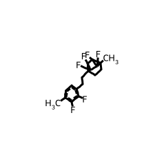 Cc1ccc(CCC23CCC(C)(CC2)C(F)(F)C3(F)F)c(F)c1F